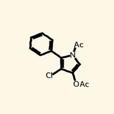 CC(=O)Oc1cn(C(C)=O)c(-c2ccccc2)c1Cl